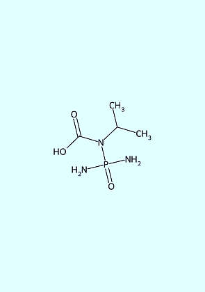 CC(C)N(C(=O)O)P(N)(N)=O